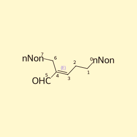 CCCCCCCCCCC/C=C(/C=O)CCCCCCCCCC